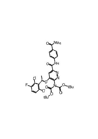 CNC(=O)c1ccc(NC(=O)c2cc(OC(C)c3c(Cl)ccc(F)c3Cl)c(N(C(=O)OC(C)(C)C)C(=O)OC(C)(C)C)nn2)cc1